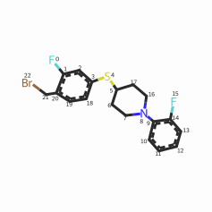 Fc1cc(SC2CCN(c3ccccc3F)CC2)ccc1CBr